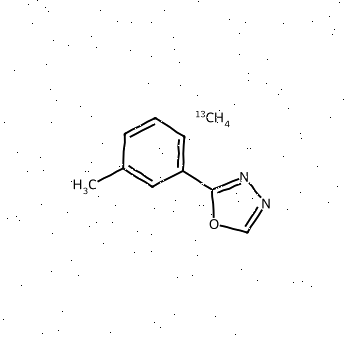 Cc1cccc(-c2nnco2)c1.[13CH4]